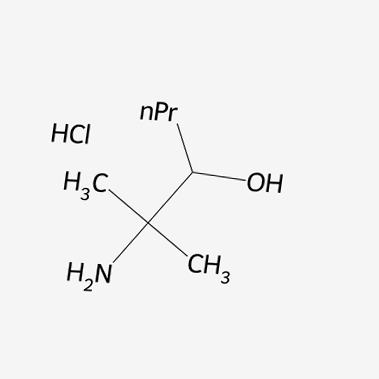 CCCC(O)C(C)(C)N.Cl